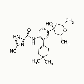 C[C@@H]1C[C@](O)(c2ccc(NC(=O)c3nc(C#N)c[nH]3)c(C3=CCC(C)(C)CC3)c2)C[C@H](C)O1